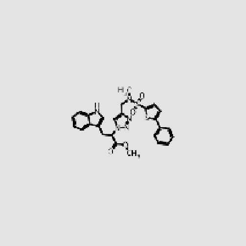 COC(=O)C(Cc1c[nH]c2ccccc12)n1cc(CN(C)S(=O)(=O)c2ccc(-c3ccccc3)s2)nn1